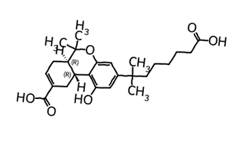 CC(C)(CCCCCC(=O)O)c1cc(O)c2c(c1)OC(C)(C)[C@@H]1CC=C(C(=O)O)C[C@@H]21